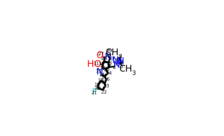 Cc1ncnn1Cc1c2c(c(O)c3ncc(Cc4ccc(F)cc4)cc13)C(=O)N(C)C2